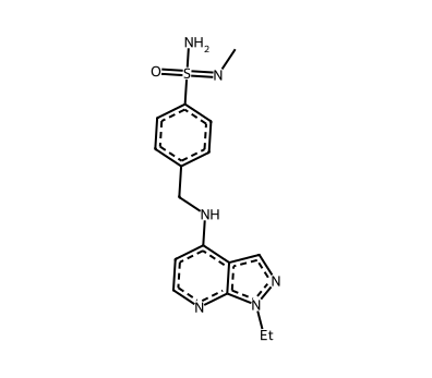 CCn1ncc2c(NCc3ccc(S(N)(=O)=NC)cc3)ccnc21